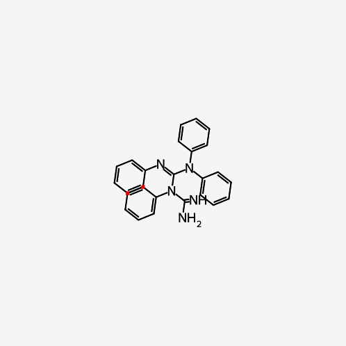 N=C(N)N(C(=Nc1ccccc1)N(c1ccccc1)c1ccccc1)c1ccccc1